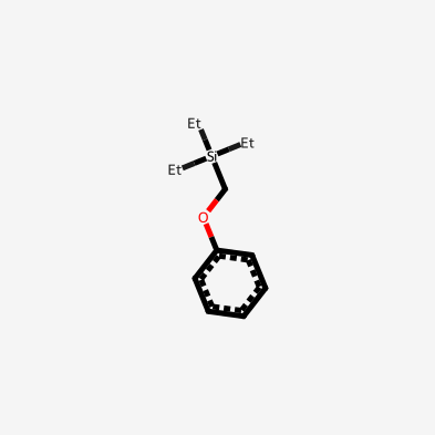 CC[Si](CC)(CC)COc1ccccc1